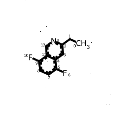 CCc1cc2c(F)ccc(F)c2cn1